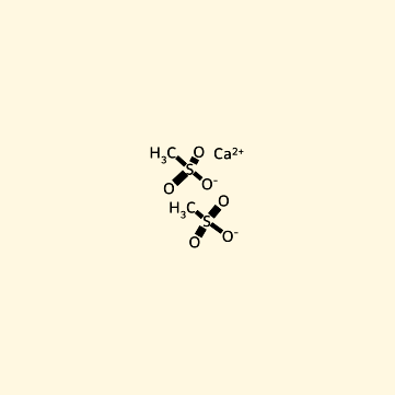 CS(=O)(=O)[O-].CS(=O)(=O)[O-].[Ca+2]